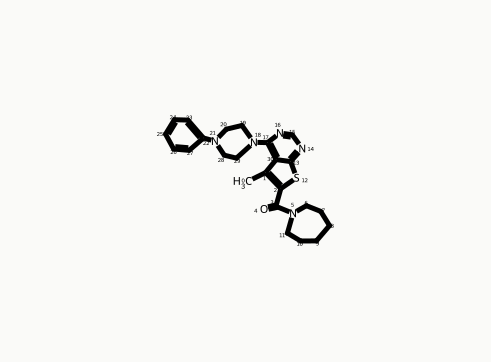 Cc1c(C(=O)N2CCCCCC2)sc2ncnc(N3CCN(c4ccccc4)CC3)c12